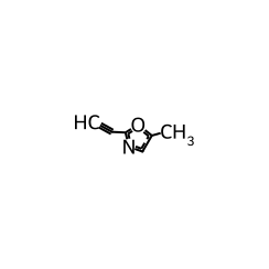 C#Cc1ncc(C)o1